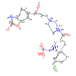 O=C(O)NC[C@@H](Cc1ccc(Cl)cc1)C(=O)N1CCN(CCC(=O)c2ccc3[nH]c(=O)oc3c2)CC1